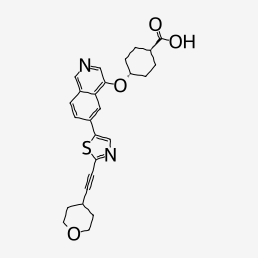 O=C(O)[C@H]1CC[C@H](Oc2cncc3ccc(-c4cnc(C#CC5CCOCC5)s4)cc23)CC1